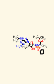 CC(C)Nc1nc(N)nc2c1ncn2[C@@H]1O[C@H](COP(=O)(N[C@@H](C)C(=O)OC(C)C)Oc2ccccc2)[C@@H](O)[C@@H]1C